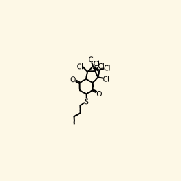 CCCCSC1CC(=O)C2C(C1=O)C1(Cl)C(Cl)=C(Cl)C2(Cl)C1(Cl)Cl